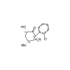 CC(C)(C)[C@@H]1C[C@H](O)C(=O)[C@@](N)(c2ccccc2Cl)C1